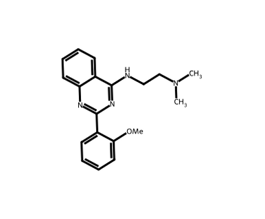 COc1ccccc1-c1nc(NCCN(C)C)c2ccccc2n1